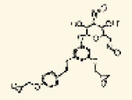 O=NCC1OC(Oc2cc(/C=C/c3ccc(OCC4CO4)cc3)cc(OCC3CO3)c2)C(O)C(N=O)C1O